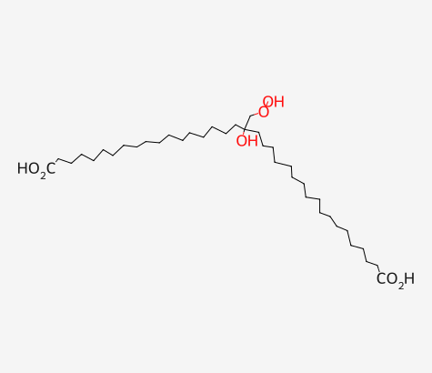 O=C(O)CCCCCCCCCCCCCCCCCC(O)(CCCCCCCCCCCCCCCCCC(=O)O)COO